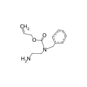 C=CCOC(=O)N(CCN)Cc1ccccc1